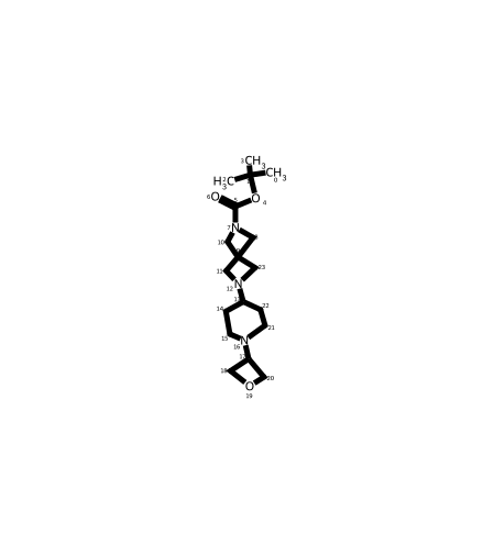 CC(C)(C)OC(=O)N1CC2(C1)CN(C1CCN(C3COC3)CC1)C2